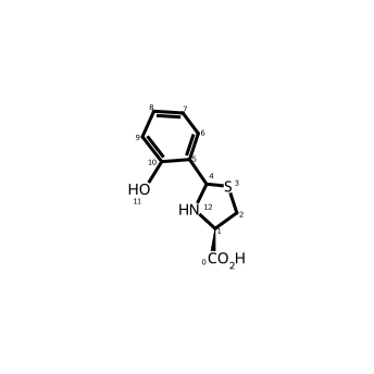 O=C(O)[C@@H]1CSC(c2ccccc2O)N1